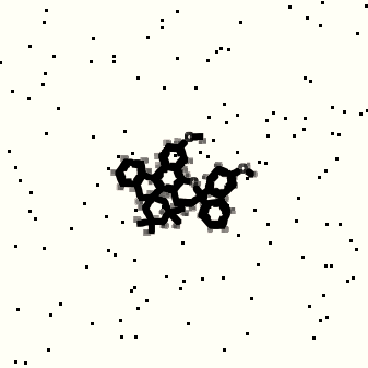 COc1ccc(C2(c3ccccc3)C=Cc3c4c(c5ccc(OC)cc5c3O2)-c2ccccc2CC42CC(C)(C)CC(C)(C)C2)cc1